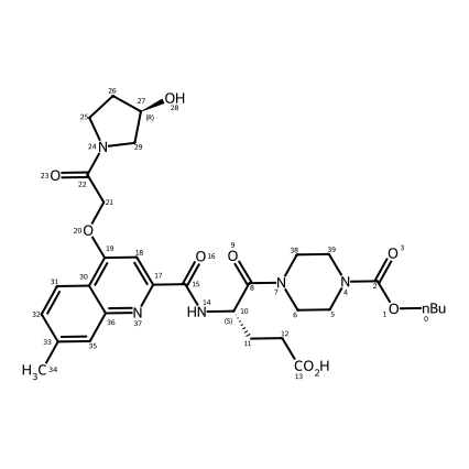 CCCCOC(=O)N1CCN(C(=O)[C@H](CCC(=O)O)NC(=O)c2cc(OCC(=O)N3CC[C@@H](O)C3)c3ccc(C)cc3n2)CC1